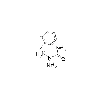 Cc1ccccc1C.NC(=O)N(N)N